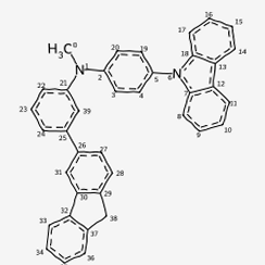 CN(c1ccc(-n2c3ccccc3c3ccccc32)cc1)c1cccc(-c2ccc3c(c2)-c2ccccc2C3)c1